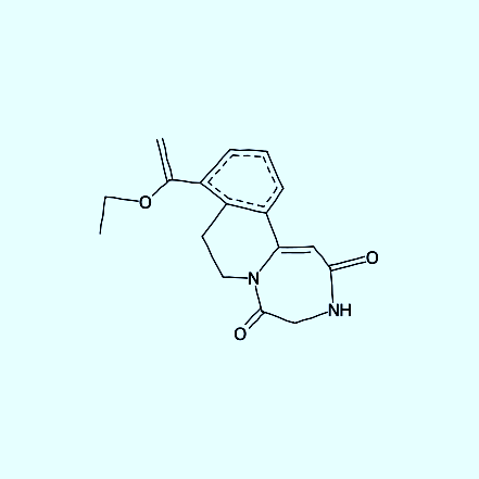 C=C(OCC)c1cccc2c1CCN1C(=O)CNC(=O)C=C21